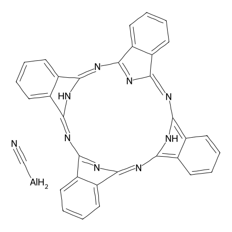 N#[C][AlH2].c1ccc2c(c1)-c1nc-2nc2[nH]c(nc3nc(nc4[nH]c(n1)c1ccccc41)-c1ccccc1-3)c1ccccc21